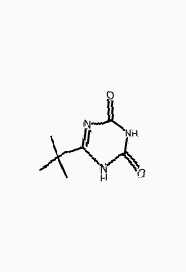 CC(C)(C)c1nc(=O)[nH]c(=O)[nH]1